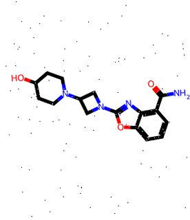 NC(=O)c1[c]ccc2oc(N3CC(N4CCC(O)CC4)C3)nc12